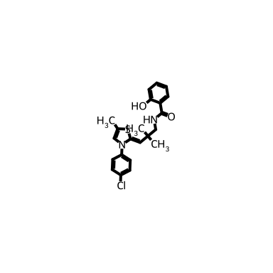 CC1=CN(c2ccc(Cl)cc2)C(=CC(C)(C)CNC(=O)c2ccccc2O)S1